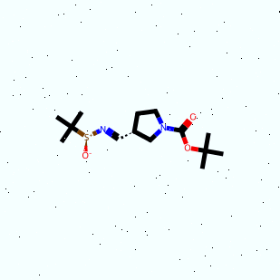 CC(C)(C)OC(=O)N1CC[C@@H](/C=N/[S@@+]([O-])C(C)(C)C)C1